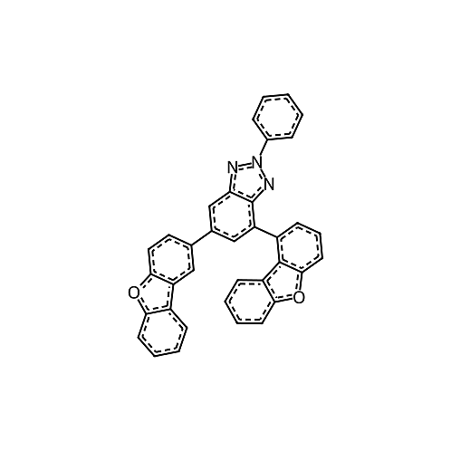 c1ccc(-n2nc3cc(-c4ccc5oc6ccccc6c5c4)cc(-c4cccc5oc6ccccc6c45)c3n2)cc1